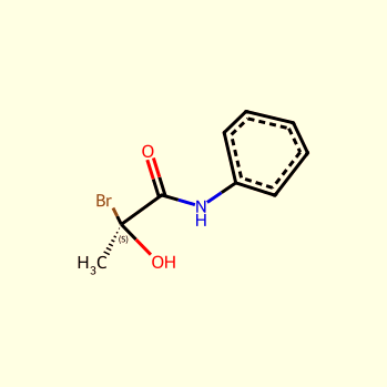 C[C@](O)(Br)C(=O)Nc1ccccc1